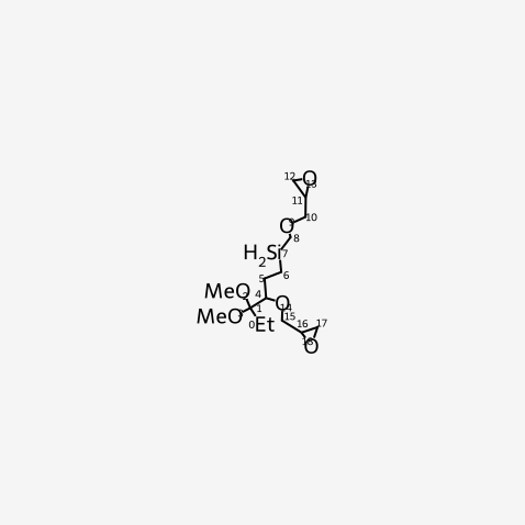 CCC(OC)(OC)C(CC[SiH2]COCC1CO1)OCC1CO1